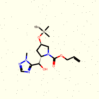 C=CCOC(=O)N1C[C@H](O[Si](C)(C)C(C)(C)C)C[C@H]1C(O)c1ncnn1C